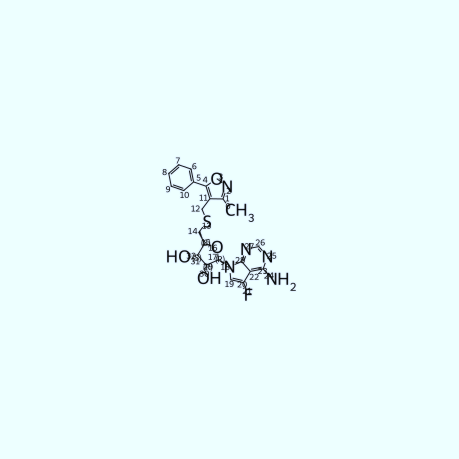 Cc1noc(-c2ccccc2)c1CSC[C@H]1O[C@@H](n2cc(F)c3c(N)ncnc32)[C@H](O)[C@@H]1O